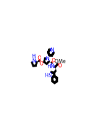 COC(=O)[C@H](Cc1c[nH]c2ccccc12)NC(=O)[C@@H]1C[C@@H](OC(=O)[C@H]2CCCN2)CN1c1ccncc1